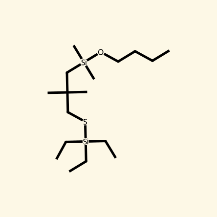 CCCCO[Si](C)(C)CC(C)(C)CS[Si](CC)(CC)CC